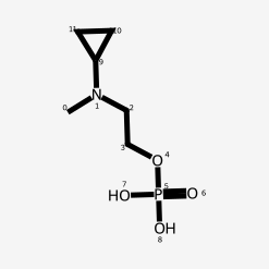 CN(CCOP(=O)(O)O)C1CC1